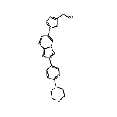 OCc1ccc(-c2ccc3nc(-c4ccc(N5CCOCC5)cc4)cn3c2)o1